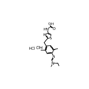 CCN(C)C=Nc1cc(C)c(Cc2nc(NC(=O)O)cs2)cc1C.Cl.Cl